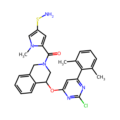 Cc1cccc(C)c1-c1cc(OC2CN(C(=O)c3cc(SN)cn3C)Cc3ccccc32)nc(Cl)n1